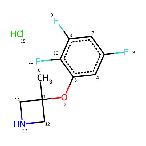 CC1(Oc2cc(F)cc(F)c2F)CNC1.Cl